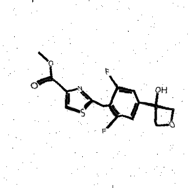 COC(=O)c1csc(-c2c(F)cc(C3(O)COC3)cc2F)n1